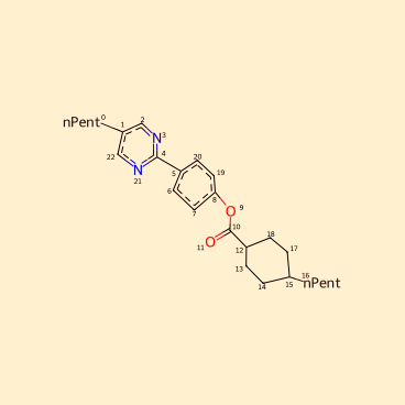 CCCCCc1cnc(-c2ccc(OC(=O)C3CCC(CCCCC)CC3)cc2)nc1